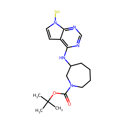 CC(C)(C)OC(=O)N1CCCCC(Nc2ncnc3c2ccn3S)C1